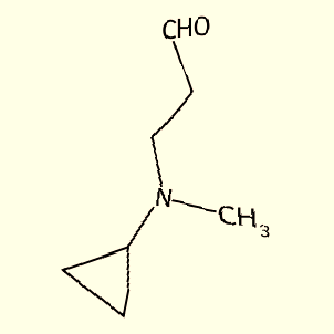 CN(CCC=O)C1CC1